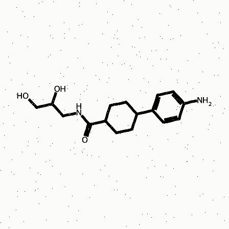 Nc1ccc(C2CCC(C(=O)NCC(O)CO)CC2)cc1